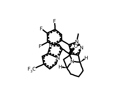 Cn1nc2c(c1-c1cc(F)c(F)c(F)c1)C[C@H]1CCC[C@@H]2N1C(=O)c1cnc2cc(C(F)(F)F)ccn12